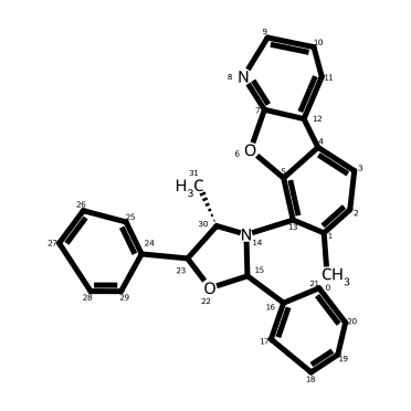 Cc1ccc2c(oc3ncccc32)c1N1C(c2ccccc2)OC(c2ccccc2)[C@@H]1C